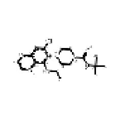 CC(Nc1nc(Cl)cc2nccnc12)[C@H]1CN(C(=O)OC(C)(C)C)CCO1